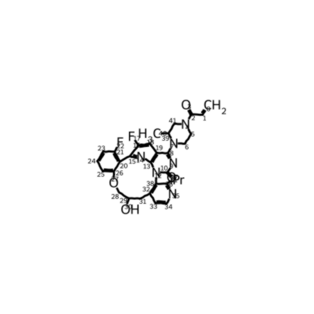 C=CC(=O)N1CCN(c2nc(=O)n3c4nc(c(F)cc24)-c2c(F)cccc2OCC(O)Cc2ccnc(C(C)C)c2-3)C(C)C1